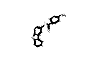 O=C(Oc1ccc2oc3ccccc3c2c1)c1ccc([N+](=O)[O-])cc1